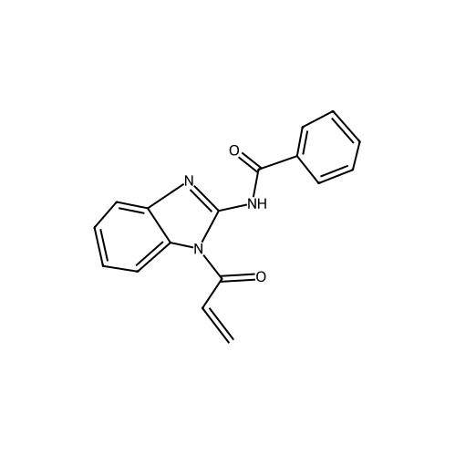 C=CC(=O)n1c(NC(=O)c2ccccc2)nc2ccccc21